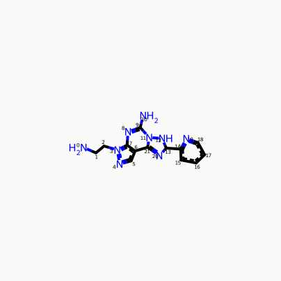 NCCn1ncc2c1N=C(N)N1NC(c3ccccn3)N=C21